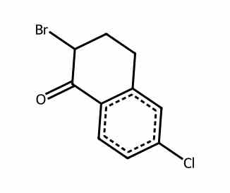 O=C1c2ccc(Cl)cc2CCC1Br